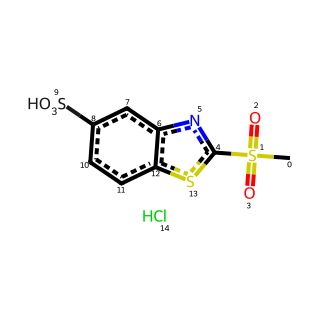 CS(=O)(=O)c1nc2cc(S(=O)(=O)O)ccc2s1.Cl